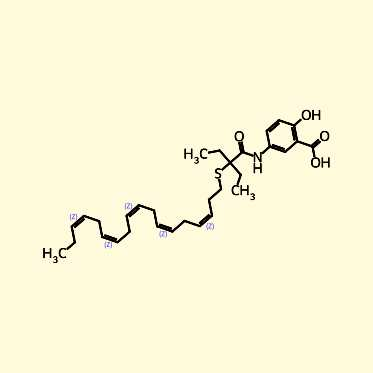 CC/C=C\C/C=C\C/C=C\C/C=C\C/C=C\CCSC(CC)(CC)C(=O)Nc1ccc(O)c(C(=O)O)c1